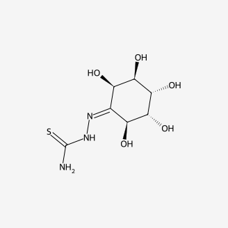 NC(=S)N/N=C1/[C@@H](O)[C@@H](O)[C@H](O)[C@H](O)[C@H]1O